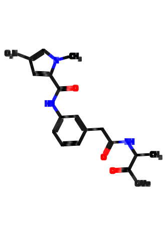 COC(=O)C(C)NC(=O)Cc1cccc(NC(=O)c2cc([N+](=O)[O-])cn2C)c1